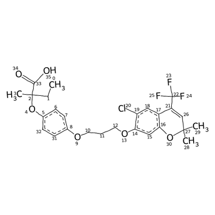 CCC(C)(Oc1ccc(OCCCOc2cc3c(cc2Cl)C(C(F)(F)F)=CC(C)(C)O3)cc1)C(=O)O